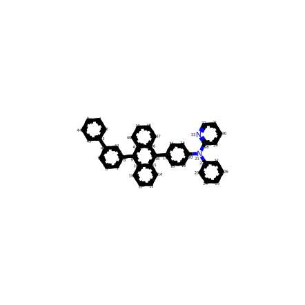 c1ccc(-c2cccc(-c3c4ccccc4c(-c4ccc(N(c5ccccc5)c5ccccn5)cc4)c4ccccc34)c2)cc1